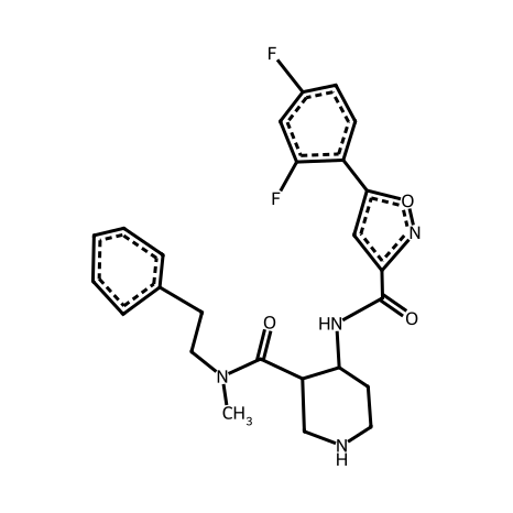 CN(CCc1ccccc1)C(=O)C1CNCCC1NC(=O)c1cc(-c2ccc(F)cc2F)on1